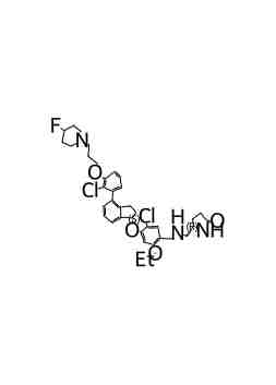 CCOc1cc(O[C@H]2CCc3c(-c4cccc(OCCCN5CCC(F)CC5)c4Cl)cccc32)c(Cl)cc1CNC[C@H]1CCC(=O)N1